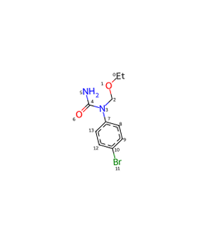 CCOCN(C(N)=O)c1ccc(Br)cc1